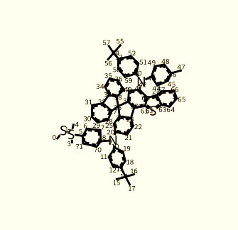 CSS(C)(C)c1ccc(N(c2ccc(C(C)(C)C)cc2)c2ccc3c(c2)C2(c4ccccc4-c4ccccc42)c2cc(N(c4ccc(C)cc4)c4ccc(C(C)(C)C)cc4)c4c(sc5ccccc54)c2-3)cc1